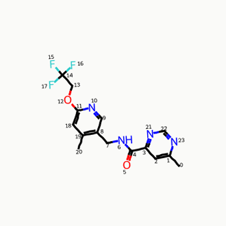 Cc1cc(C(=O)NCc2cnc(OCC(F)(F)F)cc2C)ncn1